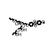 C=CCOCC(O)COCC(COc1ccc(S(=O)(=O)c2ccc(OC)cc2)cc1)OCC(O)COCC(O)CC